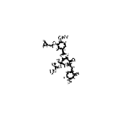 COc1ccc(-c2nc(C(=O)NCc3ccc(F)cc3F)c(C(C)(OC(N)=O)C(C)(C)C)s2)cc1OCC1CC1